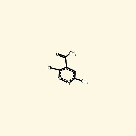 CC(=O)c1cc(C)nnc1Cl